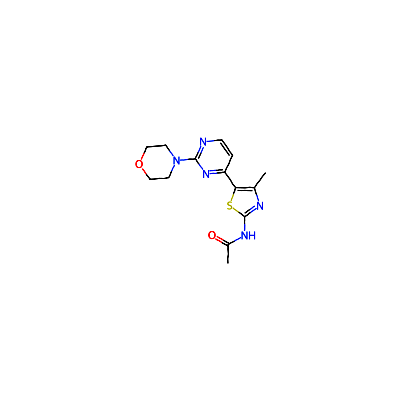 CC(=O)Nc1nc(C)c(-c2ccnc(N3CCOCC3)n2)s1